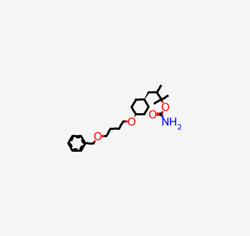 CC(C[C@H]1CC[C@H](OCCCCOCc2ccccc2)CC1)C(C)(C)OC(N)=O